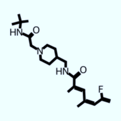 C=C(F)/C=C(C)\C=C(/C)C(=O)NCC1CCN(CC(=O)NC(C)(C)C)CC1